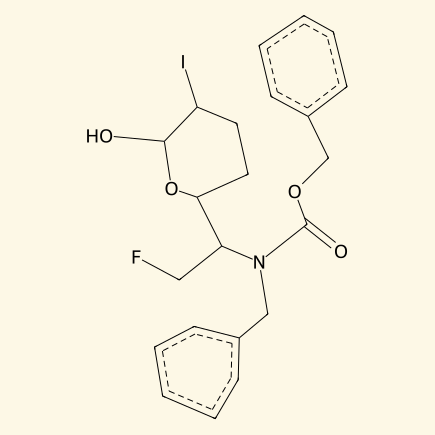 O=C(OCc1ccccc1)N(Cc1ccccc1)C(CF)C1CCC(I)C(O)O1